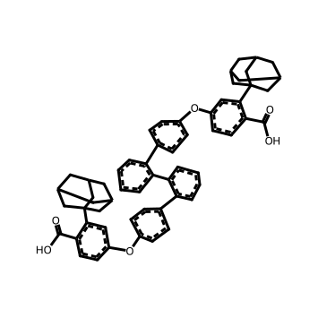 O=C(O)c1ccc(Oc2ccc(-c3ccccc3-c3ccccc3-c3ccc(Oc4ccc(C(=O)O)c(C56CC7CC(CC(C7)C5)C6)c4)cc3)cc2)cc1C12CC3CC(CC(C3)C1)C2